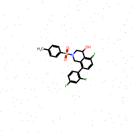 Cc1ccc(S(=O)(=O)N2Cc3c(-c4ccc(F)cc4F)ccc(F)c3C(O)C2)cc1